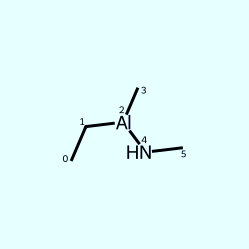 C[CH2][Al]([CH3])[NH]C